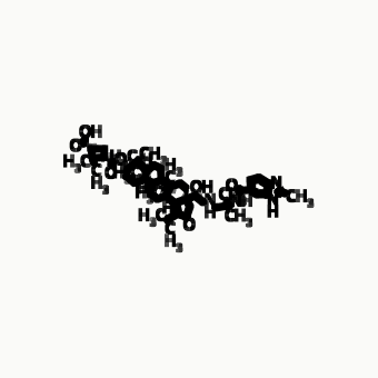 Cc1nc2ccc(C(=O)NC(C)(C)CNC[C@H](O)[C@@]34CC[C@]5(C)[C@H](CC[C@@H]6[C@@]7(C)CC[C@H](OC(=O)[C@H]8C[C@@H](C(=O)O)C8(C)C)C(C)(C)[C@@H]7CC[C@]65C)C3=C(C(C)C)C(=O)C4)cc2[nH]1